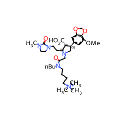 CCCCN(CCCC[N+](C)(C)C)C(=O)CN1C[C@H](c2cc(OC)c3c(c2)OCO3)[C@@H](C(=O)O)[C@@H]1CCN1CCN(C)C1=O